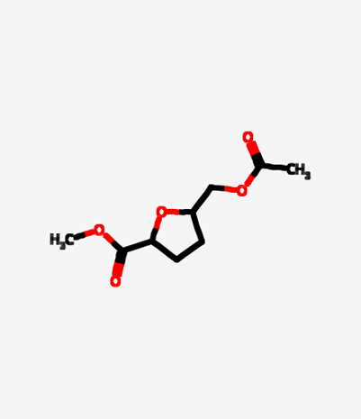 COC(=O)C1CCC(COC(C)=O)O1